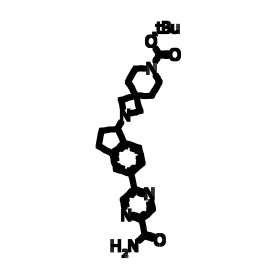 CC(C)(C)OC(=O)N1CCC2(CC1)CN(C1CCc3cc(-c4cnc(C(N)=O)cn4)ccc31)C2